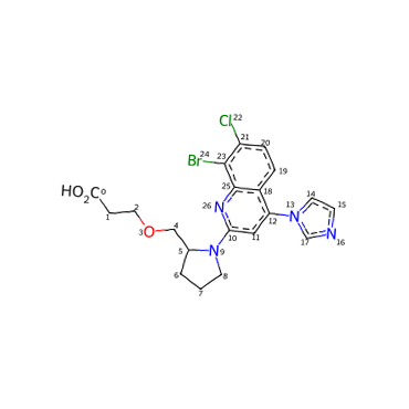 O=C(O)CCOCC1CCCN1c1cc(-n2ccnc2)c2ccc(Cl)c(Br)c2n1